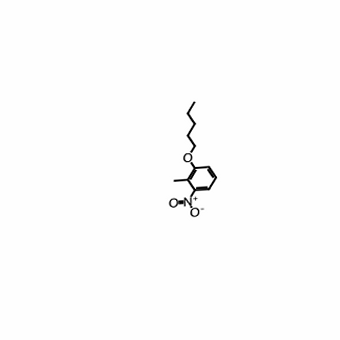 CCCCCOc1cccc([N+](=O)[O-])c1C